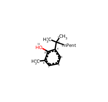 CCCCCC(C)(C)c1cccc(C)c1O